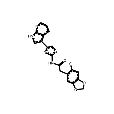 O=C(Cc1cc2c(cc1Cl)OCO2)Nc1nc(-c2c[nH]c3ncccc23)cs1